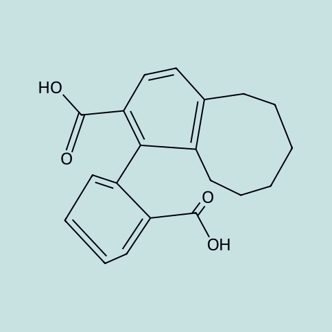 O=C(O)c1ccccc1-c1c(C(=O)O)ccc2c1CCCCCC2